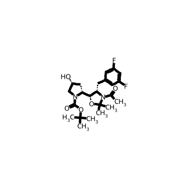 CC(=O)N1[C@@H](Cc2cc(F)cc(F)c2)[C@@H]([C@H]2C[C@@H](O)CN2C(=O)OC(C)(C)C)OC1(C)C